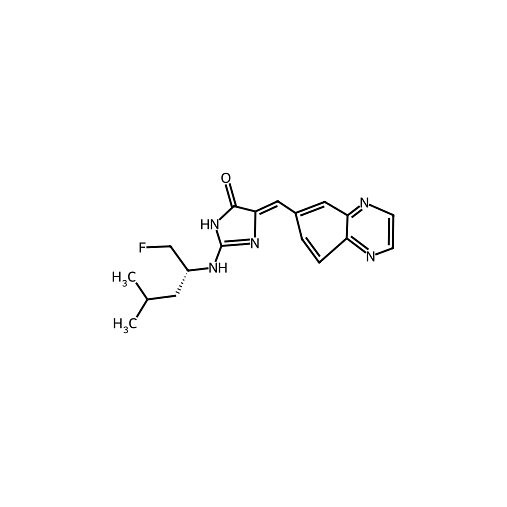 CC(C)C[C@H](CF)NC1=N/C(=C\c2ccc3nccnc3c2)C(=O)N1